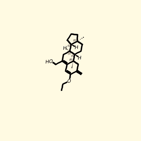 C=C1C[C@@]2(C)C(=C(CO)C[C@H]3[C@@H]4CCC[C@@]4(C)CC[C@@H]32)C=C1OCC